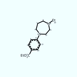 CCOC(=O)c1ccc(N2CCCN(CC)CC2)cc1